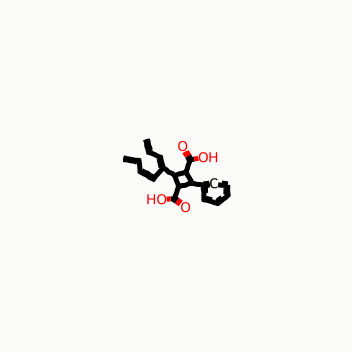 C=C/C=C\C(=C/C=C)C1C(C(=O)O)C(c2ccccc2)C1C(=O)O